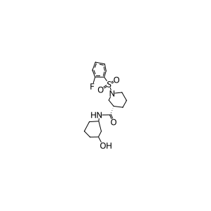 O=C(NC1CCCC(O)C1)[C@H]1CCCN(S(=O)(=O)c2ccccc2F)C1